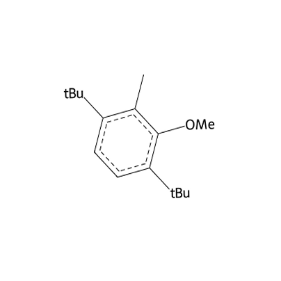 COc1c(C(C)(C)C)ccc(C(C)(C)C)c1C